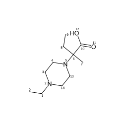 CCN1CCN(C(C)(CC)C(=O)O)CC1